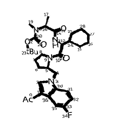 CC(=O)c1cn(CC2CCCN2C(=O)[C@@H](NC(=O)[C@H](C)N(C)C(=O)OC(C)(C)C)C2CCCCC2)c2ccc(F)cc12